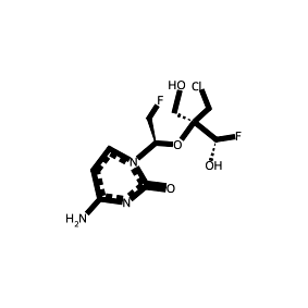 Nc1ccn([C@@H](CF)O[C@@](CO)(CCl)[C@@H](O)F)c(=O)n1